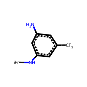 CC(C)Nc1cc(N)cc(C(F)(F)F)c1